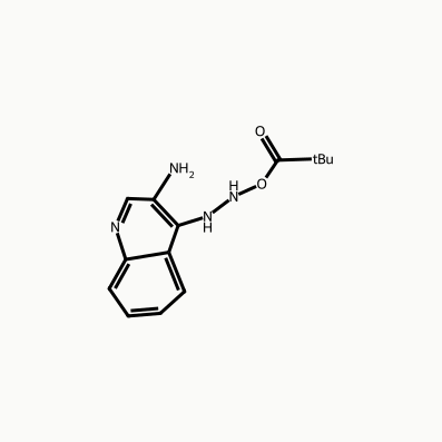 CC(C)(C)C(=O)ONNc1c(N)cnc2ccccc12